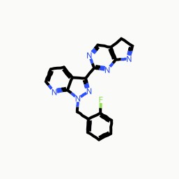 Fc1ccccc1Cn1nc(-c2ncc3c(n2)N=CC3)c2cccnc21